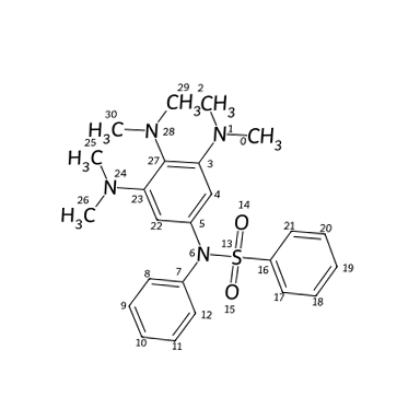 CN(C)c1cc(N(c2ccccc2)S(=O)(=O)c2ccccc2)cc(N(C)C)c1N(C)C